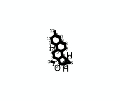 CC[C@]12CCC3C(CC=C4C=C(C)CC[C@@H]43)C1[C@@H]1C[C@@H]1C2=O